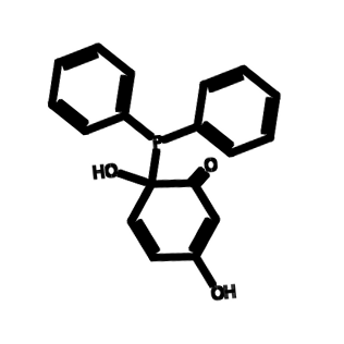 O=C1C=C(O)C=CC1(O)P(c1ccccc1)c1ccccc1